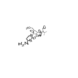 CC(C)[C@H](C=O)NOC1C(CO)OC(n2ccc(N)nc2=O)C1O